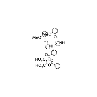 COc1ccccc1OCC1NCCS1.COc1ccccc1OCC1NCCS1.O=C(OC(C(=O)O)C(OC(=O)c1ccccc1)C(=O)O)c1ccccc1